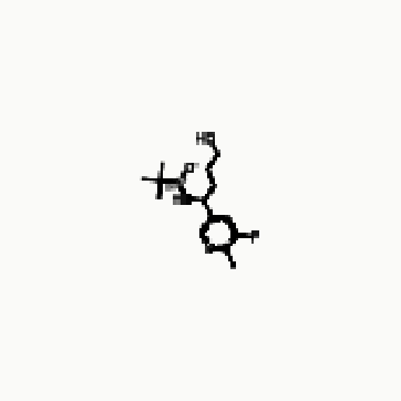 Cc1ncc(C(CCCO)N[S@+]([O-])C(C)(C)C)cc1F